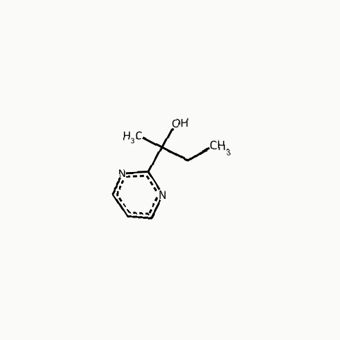 CCC(C)(O)c1ncccn1